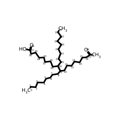 CCCCCCCCCC(CCCCCCCC(C)=O)C(CCCCCCCCC)CCCCCCCC(=O)O